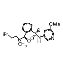 COc1cncc(NS(=O)(=O)c2ccccc2C(=O)N(C)CCC(C)C)c1